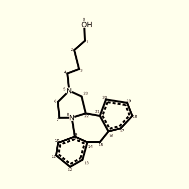 OCCCCN1CCN2c3ccccc3Cc3ccccc3C2C1